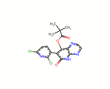 CC(C)(C)C(=O)Oc1c(-c2ccc(Cl)nc2Cl)c(=O)[nH]c2nccnc12